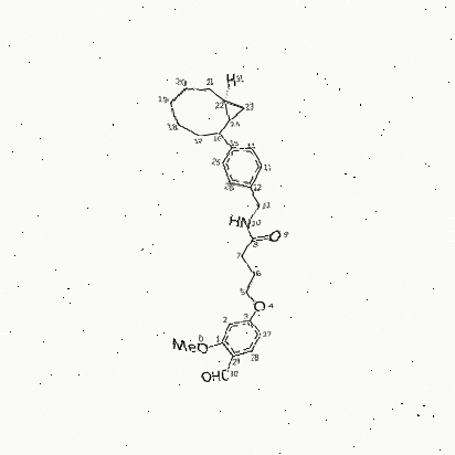 COc1cc(OCCCC(=O)NCc2ccc(C3CCCCC[C@H]4CC34)cc2)ccc1C=O